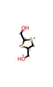 OCC1CSC(CO)S1